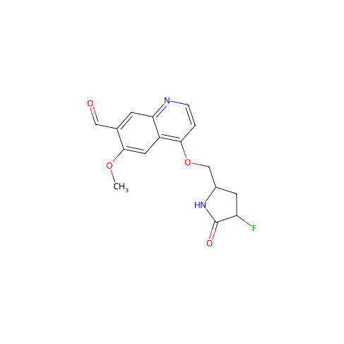 COc1cc2c(OCC3CC(F)C(=O)N3)ccnc2cc1C=O